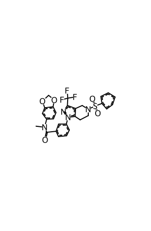 CN(C(=O)c1cccc(-n2nc(C(F)(F)F)c3c2CCN(S(=O)(=O)c2ccccc2)C3)c1)c1ccc2c(c1)OCO2